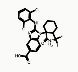 NC(=O)C1(n2c(Nc3c(Cl)cccc3Cl)nc3cc(C(=O)O)ccc32)CCCCC1C(F)(F)F